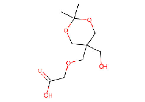 CC1(C)OCC(CO)(COCC(=O)O)CO1